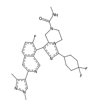 CNC(=O)N1CCn2c(C3CCC(F)(F)CC3)nc(-c3c(F)ccc4cc(-c5cn(C)nc5C)ncc34)c2C1